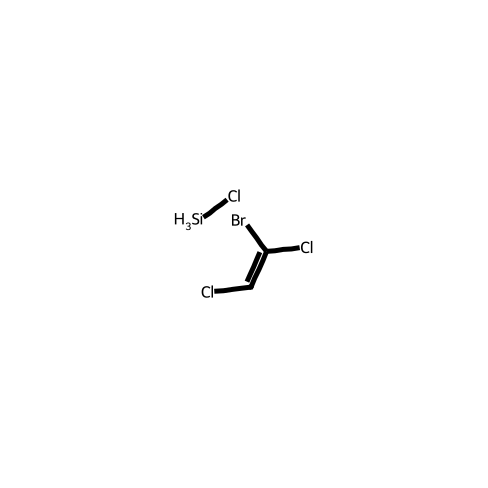 ClC=C(Cl)Br.[SiH3]Cl